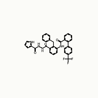 O=C(NNC(=O)c1cccc(NC(=O)c2ccccc2-c2ccc(C(F)(F)F)cc2)c1Cc1ccccc1)c1ccc[nH]1